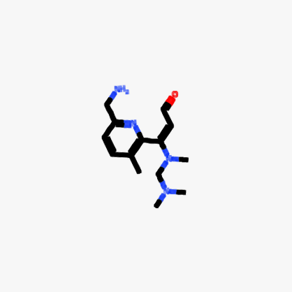 Cc1ccc(CN)nc1/C(=C\C=O)N(C)CN(C)C